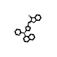 O=C1/C(=C/c2ccc(N(c3ccccn3)c3cccc4ccccc34)s2)Cc2ccccc21